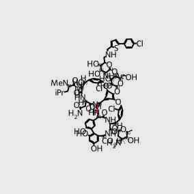 CN[C@H](CC(C)C)C(=O)N[C@H]1C(=O)N[C@@H](CC(N)=O)C(=O)N[C@H]2C(=O)N[C@H]3C(=O)NC(C(=O)N[C@@H](C(=O)O)c4cc(O)cc(O)c4-c4cc3ccc4O)[C@H](O[C@H]3C[C@](C)(N)[C@@H](O)[C@H](C)O3)c3ccc(c(Cl)c3)Oc3cc2cc(c3O[C@@H]2O[C@H](CO)[C@@H](O[C@@H]3OC(CNCc4ccc(-c5ccc(Cl)cc5)s4)[C@H](O)[C@H](O)[C@H]3NC(C)=O)[C@H](O)[C@H]2O)Oc2ccc(cc2Cl)[C@H]1O